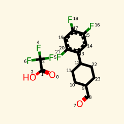 O=C(O)C(F)(F)F.O=CC1CCC(c2cc(F)c(F)cc2F)CC1